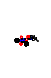 CN(C)CC(=O)OCN1C(=O)N(c2ccccc2)C(=O)C1c1ccccc1